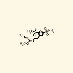 CCOC(OC)OCCc1cc(S(N)(=O)=O)sc1S(C)(=O)=O